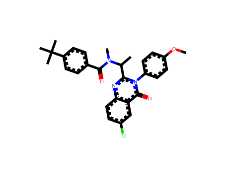 COc1ccc(-n2c(C(C)N(C)C(=O)c3ccc(C(C)(C)C)cc3)nc3ccc(Cl)cc3c2=O)cc1